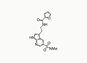 CNS(=O)(=O)c1cnc2[nH]cc(CCNC(=O)c3ccco3)c2c1